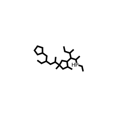 CCPC(C)C(C(C)CC)C1CC(C)(C(C)CC(CC)CC2CCCC2)CC1C